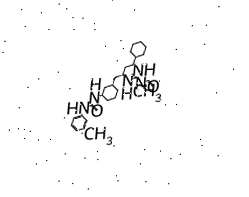 Cc1cccc(NC(=O)N[C@@H]2CCC[C@H](C[C@@H](CCC3CCCCC3)NC(=N)N(C)C=O)C2)c1